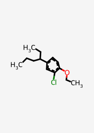 CCCC(CC)c1ccc(OCC)c(Cl)c1